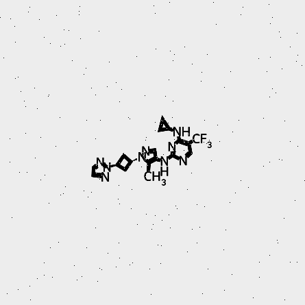 Cc1c(Nc2ncc(C(F)(F)F)c(NC3CC3)n2)cnn1[C@H]1C[C@H](n2nccn2)C1